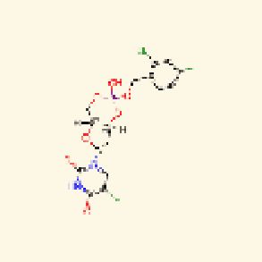 O=c1[nH]c(=O)n([C@H]2C[C@@H]3O[PH](O)(OCc4ccc(F)cc4Cl)OC[C@H]3O2)cc1F